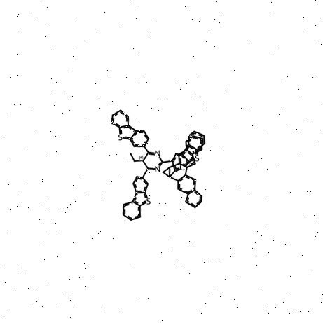 CC[C@H]1C(c2ccc3c(c2)sc2ccccc23)=NC(c2cc3c(cc2C24CC2c2cc5ccccc5cc2-c2cc5ccccc5cc24)sc2ccccc23)=NC1c1ccc2c(c1)sc1ccccc12